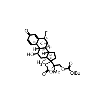 COC(=O)O[C@]1(C(=O)COC(=O)OCC(C)C)CC[C@H]2[C@@H]3C[C@H](F)C4=CC(=O)C=C[C@]4(C)[C@H]3C(O)C[C@@]21C